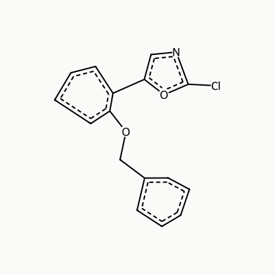 Clc1ncc(-c2ccccc2OCc2ccccc2)o1